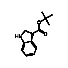 CC(C)(C)OC(=O)N1CNc2ccccc21